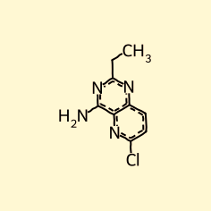 CCc1nc(N)c2nc(Cl)ccc2n1